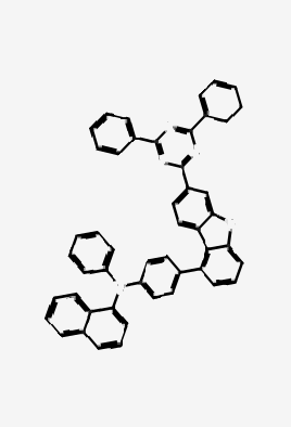 C1=CCCC(c2nc(-c3ccccc3)nc(-c3ccc4c(c3)oc3cccc(-c5ccc(N(c6ccccc6)c6cccc7ccccc67)cc5)c34)n2)=C1